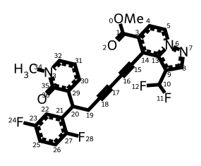 COC(=O)c1ccn2ncc(C(F)F)c2c1C#CC#CCC(c1cc(F)ccc1F)c1cccn(C)c1=O